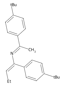 CC/C=C(/N=C(\C)c1ccc(C(C)(C)C)cc1)c1ccc(C(C)(C)C)cc1